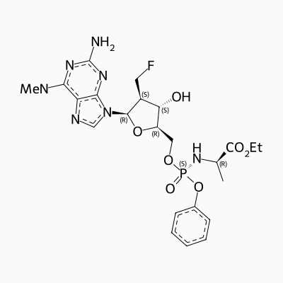 CCOC(=O)[C@@H](C)N[P@](=O)(OC[C@H]1O[C@@H](n2cnc3c(NC)nc(N)nc32)[C@@H](CF)[C@@H]1O)Oc1ccccc1